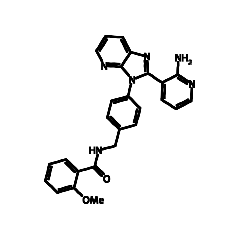 COc1ccccc1C(=O)NCc1ccc(-n2c(-c3cccnc3N)nc3cccnc32)cc1